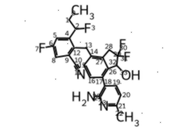 CCC(F)c1cc(F)cc(C#N)c1Cc1ccc(-c2ccc(C)nc2N)c2c1CC(F)(F)C2O